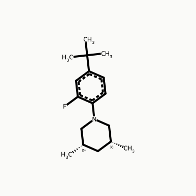 C[C@@H]1C[C@H](C)CN(c2ccc(C(C)(C)C)cc2F)C1